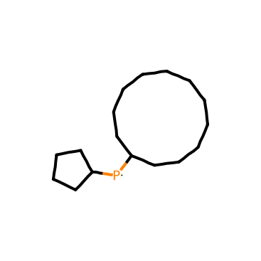 C1CCCCCC([P]C2CCCC2)CCCCC1